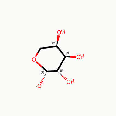 [O][C@@H]1OC[C@@H](O)[C@@H](O)[C@@H]1O